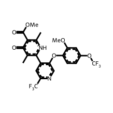 COC(=O)c1c(C)[nH]c(-c2cc(C(F)(F)F)ncc2Oc2ccc(OC(F)(F)F)cc2OC)c(C)c1=O